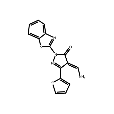 N/C=C1/C(=O)N(c2nc3ccccc3s2)N=C1c1cccs1